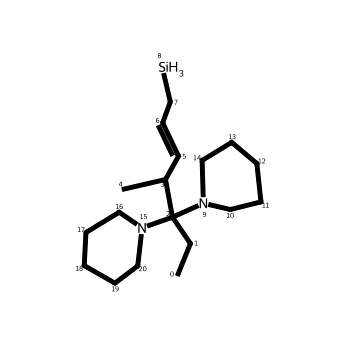 CCC(C(C)/C=C/C[SiH3])(N1CCCCC1)N1CCCCC1